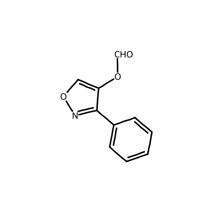 O=COc1conc1-c1ccccc1